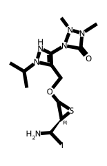 CC(C)n1[nH]c(-n2c(=O)n(C)n2C)c1COC1S[C@H]1C(N)I